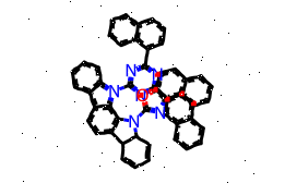 C1=CC2c3ccc4c5ccccc5n(-c5nc(-c6ccc7ccccc7c6)nc(-c6cccc7ccccc67)n5)c4c3N(c3nc4c(ccc5ccccc54)o3)C2C=C1